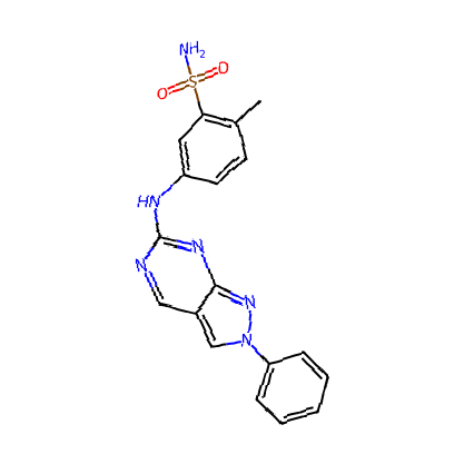 Cc1ccc(Nc2ncc3cn(-c4ccccc4)nc3n2)cc1S(N)(=O)=O